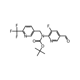 CC(C)(C)OC(=O)N(Cc1ccc(C(F)(F)F)nc1)c1ncc(C=O)cc1F